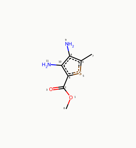 COC(=O)c1sc(C)c(N)c1N